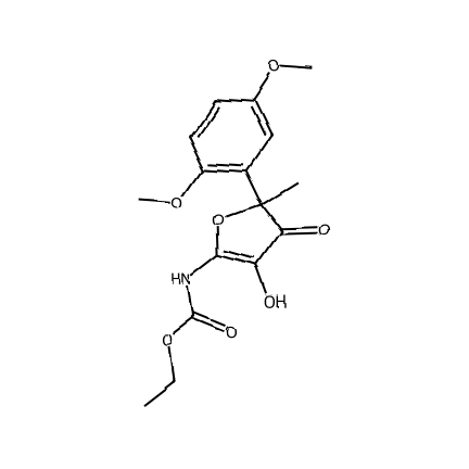 CCOC(=O)NC1=C(O)C(=O)C(C)(c2cc(OC)ccc2OC)O1